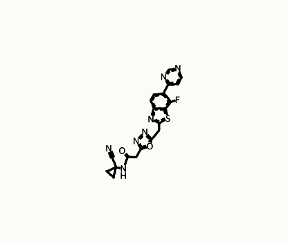 N#CC1(NC(=O)Cc2nnc(Cc3nc4ccc(-c5ccncn5)c(F)c4s3)o2)CC1